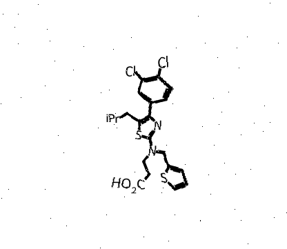 CC(C)Cc1sc(N(CCC(=O)O)Cc2cccs2)nc1-c1ccc(Cl)c(Cl)c1